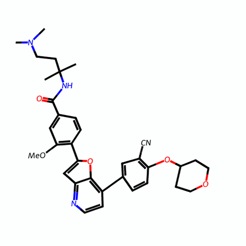 COc1cc(C(=O)NC(C)(C)CCN(C)C)ccc1-c1cc2nccc(-c3ccc(OC4CCOCC4)c(C#N)c3)c2o1